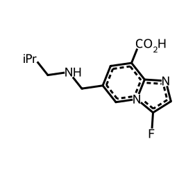 CC(C)CNCc1cc(C(=O)O)c2ncc(F)n2c1